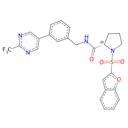 O=C(NCc1cccc(-c2cnc(C(F)(F)F)nc2)c1)[C@@H]1CCCN1S(=O)(=O)c1cc2ccccc2o1